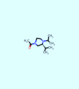 CC(=O)N1CCN(C(C)C)[C@@H](C(C)C)C1